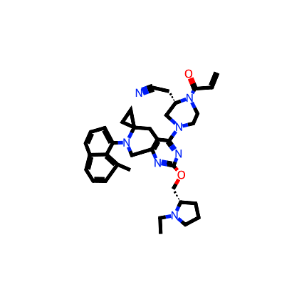 C=CC(=O)N1CCN(c2nc(OC[C@@H]3CCCN3CC)nc3c2CC2(CC2)N(c2cccc4cccc(C)c24)C3)C[C@@H]1CC#N